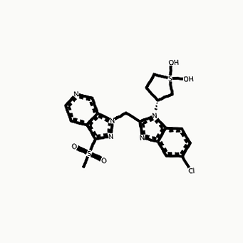 CS(=O)(=O)c1nn(Cc2nc3cc(Cl)ccc3n2[C@@H]2CCS(O)(O)C2)c2cnccc12